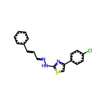 Clc1ccc(-c2csc(NN=CC=Cc3ccccc3)n2)cc1